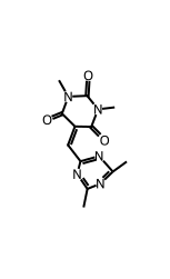 Cc1nc(C)nc(C=C2C(=O)N(C)C(=O)N(C)C2=O)n1